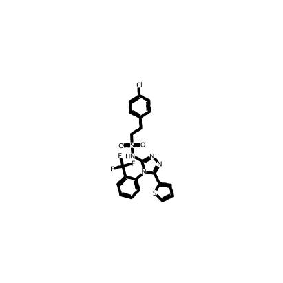 O=S(=O)(CCc1ccc(Cl)cc1)Nc1nnc(-c2cccs2)n1-c1ccccc1C(F)(F)F